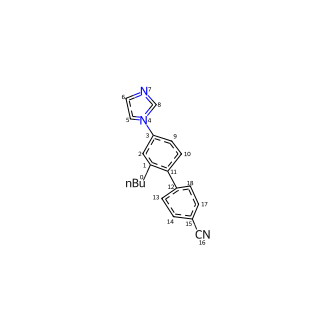 CCCCc1cc(-n2ccnc2)ccc1-c1ccc(C#N)cc1